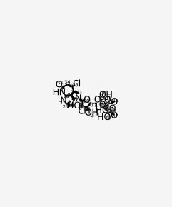 C[C@@]1(O)[C@H](O)[C@@H](COP(=O)(O)OP(=O)(O)OP(=O)(O)O)O[C@H]1n1cc2c3c(ncnc31)NC(=O)C=C2Cl